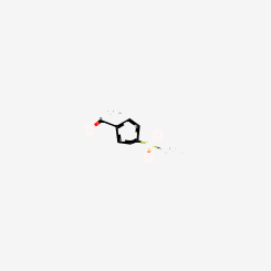 CNS(=O)(=O)c1ccc(C(=O)OC)cc1